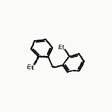 CCc1ccccc1Cc1ccccc1CC